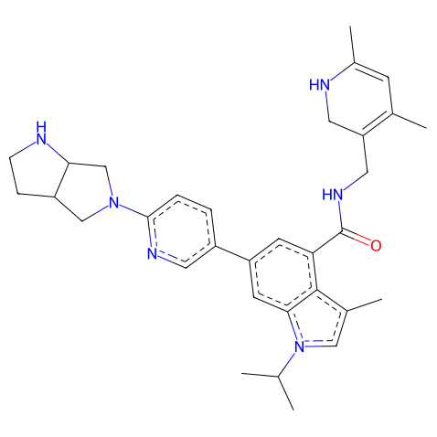 CC1=CC(C)=C(CNC(=O)c2cc(-c3ccc(N4CC5CCNC5C4)nc3)cc3c2c(C)cn3C(C)C)CN1